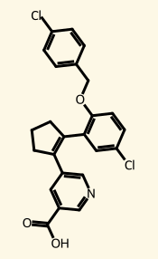 O=C(O)c1cncc(C2=C(c3cc(Cl)ccc3OCc3ccc(Cl)cc3)CCC2)c1